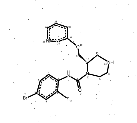 O=C(Nc1ccc(Br)cc1F)N1CCNC[C@@H]1COc1cccnc1